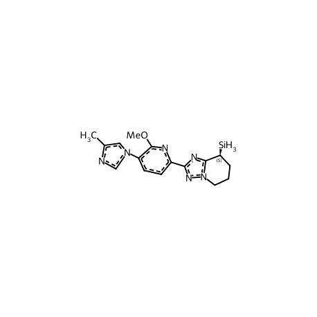 COc1nc(-c2nc3n(n2)CCC[C@@H]3[SiH3])ccc1-n1cnc(C)c1